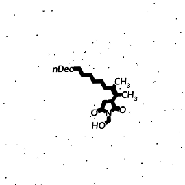 CCCCCCCCCCCCCCCCC(C)=C(C)C1CC(=O)N(CO)C1=O